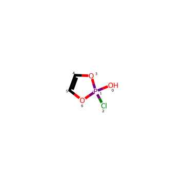 O[P]1(Cl)OC=CO1